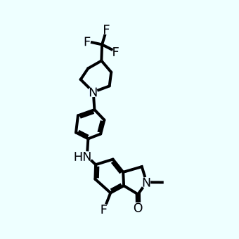 CN1Cc2cc(Nc3ccc(N4CCC(C(F)(F)F)CC4)cc3)cc(F)c2C1=O